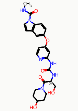 CNC(=O)n1ccc2cc(Oc3ccnc(NC(=O)N[C@@H](CO)C(=O)N4CCC(O)CC4)c3)ccc21